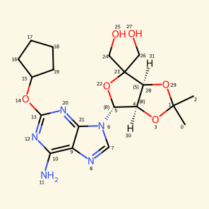 CC1(C)O[C@H]2[C@H](n3cnc4c(N)nc(OC5CCCC5)nc43)OC(CO)(CO)[C@H]2O1